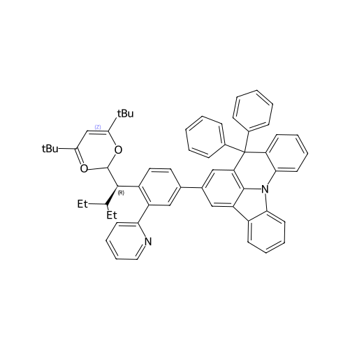 CCC(CC)[C@H](c1ccc(-c2cc3c4c(c2)c2ccccc2n4-c2ccccc2C3(c2ccccc2)c2ccccc2)cc1-c1ccccn1)C(C)O/C(=C\C(=O)C(C)(C)C)C(C)(C)C